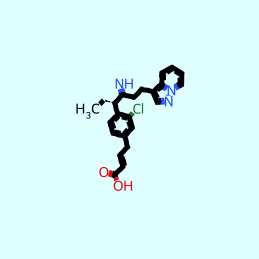 CC[C@H](C(=N)CCc1cnn2ccccc12)c1ccc(C/C=C/C(=O)O)cc1Cl